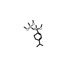 CO[Si](C)(C[Si](C)(OC)C1=CC=C(C(C)C)CC1)OC